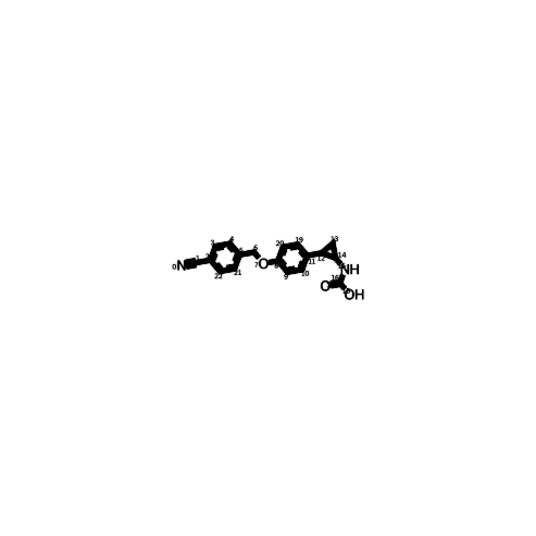 N#Cc1ccc(COc2ccc(C3CC3NC(=O)O)cc2)cc1